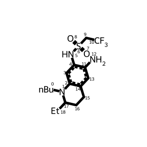 CCCCN1c2cc(NS(=O)(=O)CC(F)(F)F)c(N)cc2CCC1CC